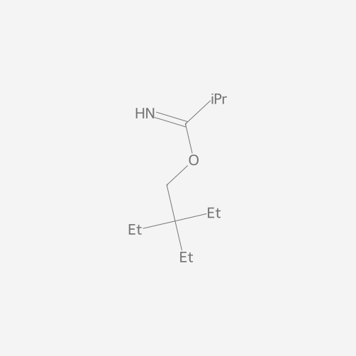 CCC(CC)(CC)COC(=N)C(C)C